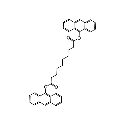 O=C(CCCCCCCCC(=O)Oc1c2ccccc2cc2ccccc12)Oc1c2ccccc2cc2ccccc12